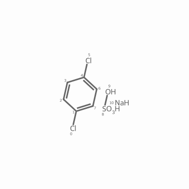 Clc1ccc(Cl)cc1.O=S(=O)(O)O.[NaH]